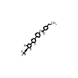 CCCc1ccc(C(=O)Oc2ccc(-c3ccc(-c4cc(F)c(C#CC(F)(F)F)c(F)c4)c(F)c3)cc2)cc1